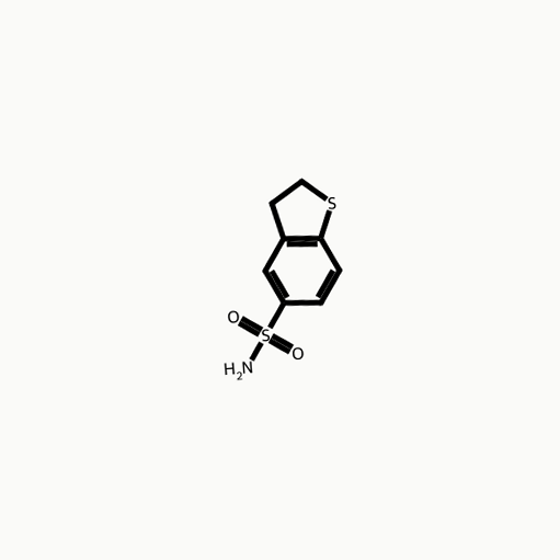 NS(=O)(=O)c1ccc2c(c1)CCS2